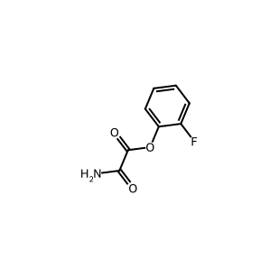 NC(=O)C(=O)Oc1ccccc1F